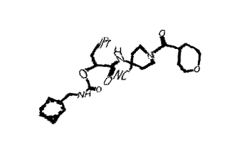 CC(C)CC(OC(=O)NCc1ccccc1)C(=O)NC1(C#N)CCN(C(=O)C2CCOCC2)CC1